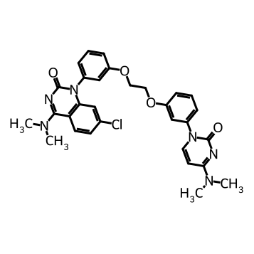 CN(C)c1ccn(-c2cccc(OCCOc3cccc(-n4c(=O)nc(N(C)C)c5ccc(Cl)cc54)c3)c2)c(=O)n1